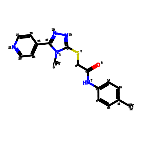 CCCn1c(SCC(=O)Nc2ccc(C(C)C)cc2)nnc1-c1ccncc1